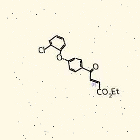 CCOC(=O)/C=C/C(=O)c1ccc(Oc2ccccc2Cl)cc1